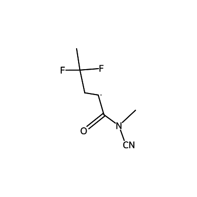 CN(C#N)C(=O)[CH]CC(C)(F)F